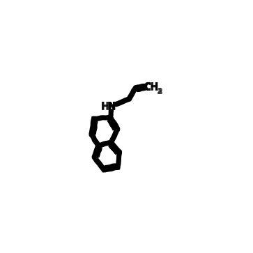 C=CCNc1ccc2ccccc2c1